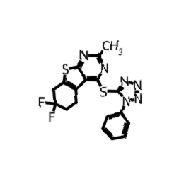 Cc1nc(Sc2nnnn2-c2ccccc2)c2c3c(sc2n1)CC(F)(F)CC3